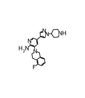 Nc1ncc(-c2cnn(C3CCNCC3)c2)cc1N1CCc2c(F)cccc2C1